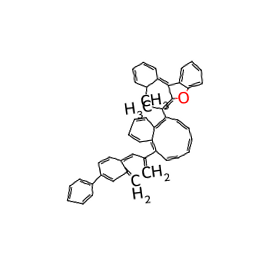 C=C(/C=c1/ccc(-c2ccccc2)cc1=C)c1ccccccc(/C(C)=c2\oc3ccccc3\c2=C2/C=CC=CC2C)c2ccccc12